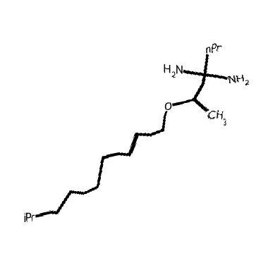 CCCC(N)(N)C(C)OCCCCCCCC(C)C